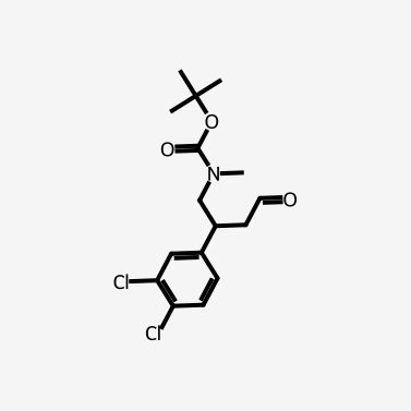 CN(CC(CC=O)c1ccc(Cl)c(Cl)c1)C(=O)OC(C)(C)C